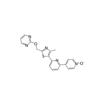 Cc1nc(COc2ncccn2)sc1-c1cccc(-c2cc[n+]([O-])cc2)n1